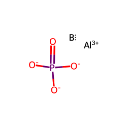 O=P([O-])([O-])[O-].[Al+3].[B]